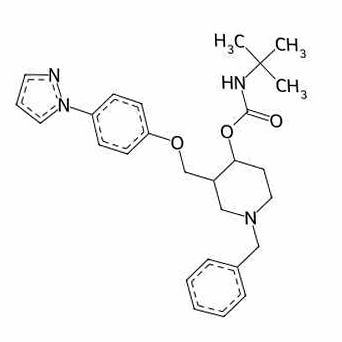 CC(C)(C)NC(=O)OC1CCN(Cc2ccccc2)CC1COc1ccc(-n2cccn2)cc1